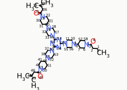 CCCC(=O)N1CCC(N2CCN(c3nc(N4CCN(C5CCN(C(=O)CC(C)C)CC5)CC4)nc(N4CCN(C5CCN(C(=O)CC(C)C)CC5)CC4)n3)CC2)CC1